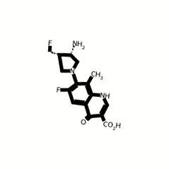 Cc1c(N2C[C@H](CF)[C@H](N)C2)c(F)cc2c(=O)c(C(=O)O)c[nH]c12